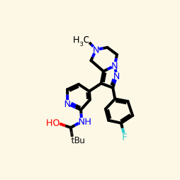 CN1CCn2nc(-c3ccc(F)cc3)c(-c3ccnc(NC(O)C(C)(C)C)c3)c2C1